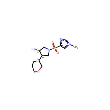 Cn1cnc(S(=O)(=O)N2C[C@@H]([C@@H]3CCCOC3)[C@H](N)C2)c1